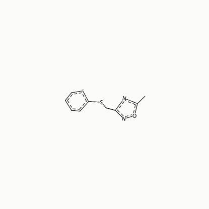 Cc1nc(CSc2[c]cccc2)no1